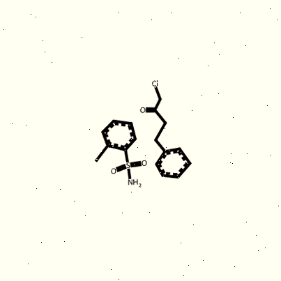 Cc1ccccc1S(N)(=O)=O.O=C(CCl)CCc1ccccc1